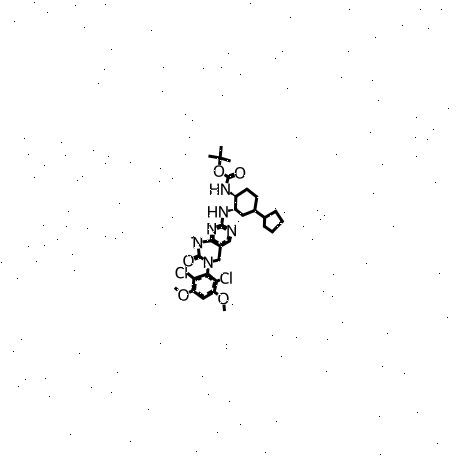 COc1cc(OC)c(Cl)c(N2Cc3cnc(N[C@@H]4CC(C5CCCC5)CC[C@@H]4NC(=O)OC(C)(C)C)nc3N(C)C2=O)c1Cl